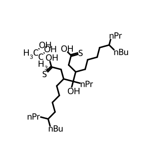 CCCCC(CCC)CCCCC(CC(O)=S)C(O)(CCC)C(CCCCC(CCC)CCCC)CC(O)=S.CO.CO